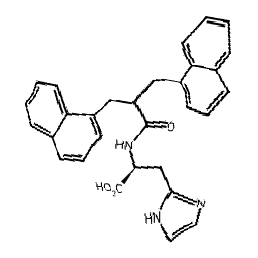 O=C(N[C@@H](Cc1ncc[nH]1)C(=O)O)C(Cc1cccc2ccccc12)Cc1cccc2ccccc12